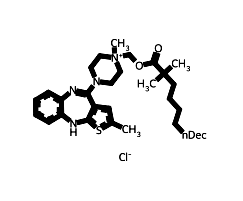 CCCCCCCCCCCCCCC(C)(C)C(=O)OC[N+]1(C)CCN(C2=Nc3ccccc3Nc3sc(C)cc32)CC1.[Cl-]